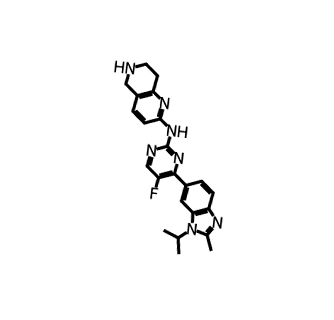 Cc1nc2ccc(-c3nc(Nc4ccc5c(n4)CCNC5)ncc3F)cc2n1C(C)C